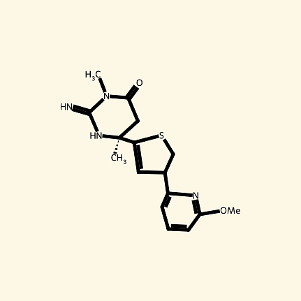 COc1cccc(C2C=C([C@]3(C)CC(=O)N(C)C(=N)N3)SC2)n1